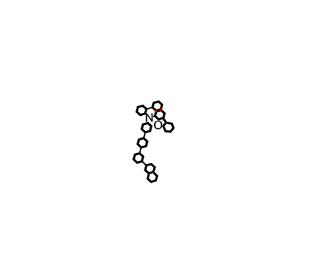 c1ccc(-c2ccccc2N(c2ccc(-c3ccc(-c4cccc(-c5ccc6ccccc6c5)c4)cc3)cc2)c2cccc3c2oc2ccccc23)cc1